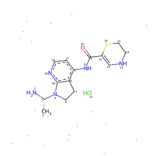 C[C@H](N)N1CCc2c(NC(=O)C3=CNCCS3)ccnc21.Cl